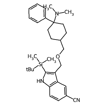 CN(C)C1(c2ccccc2)CCC(COCc2c([Si](C)(C)C(C)(C)C)[nH]c3ccc(C#N)cc23)CC1